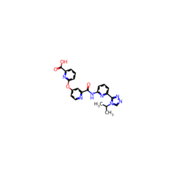 CC(C)n1cnnc1-c1cccc(NC(=O)c2cc(Oc3cccc(C(=O)O)n3)ccn2)n1